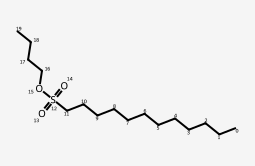 CCCCCCCCCCCCS(=O)(=O)OCCCC